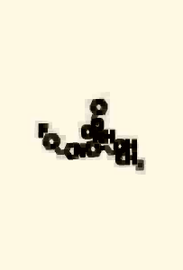 CC(O)CCc1ccc(N2CCC(Cc3ccc(F)cc3)CC2)cc1NC(=O)OCc1ccccc1